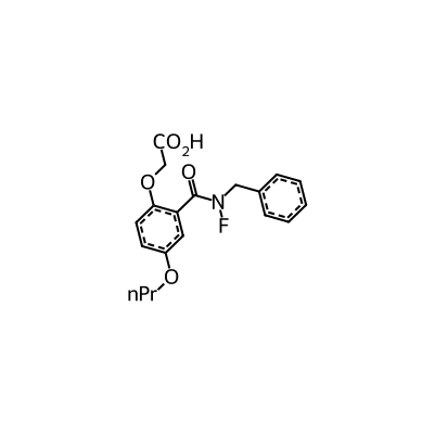 CCCOc1ccc(OCC(=O)O)c(C(=O)N(F)Cc2ccccc2)c1